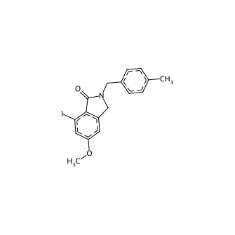 COc1cc(I)c2c(c1)CN(Cc1ccc(C)cc1)C2=O